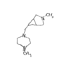 CN1CCN(CC2C3CN(C)CC32)CC1